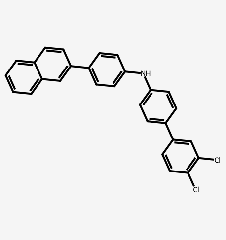 Clc1ccc(-c2ccc(Nc3ccc(-c4ccc5ccccc5c4)cc3)cc2)cc1Cl